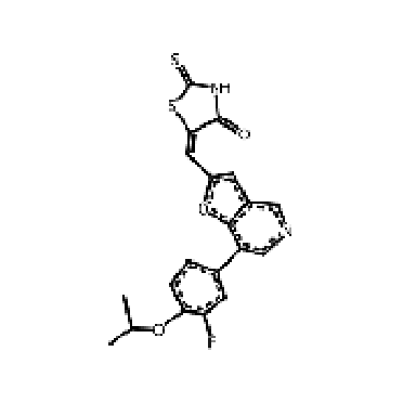 CC(C)Oc1ccc(-c2cncc3cc(C=C4SC(=S)NC4=O)oc23)cc1F